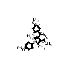 CCOc1ccc(-n2c(C)c3c(C)nnc(-c4ccc(OC(F)(F)F)cc4)c3c2C)cc1